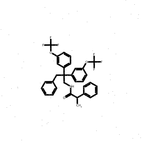 CC(C(=O)NCC(Cc1ccccc1)(c1cccc(OC(F)(F)F)c1)c1cccc(OC(F)(F)F)c1)c1ccccc1